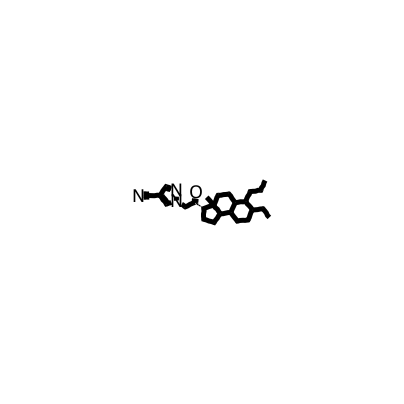 CCCC1C(CC)CCC2C1CCC1(C)C2CC[C@@H]1C(=O)Cn1cc(C#N)cn1